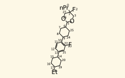 CCCC1(F)COC(C2CCC(c3ccc(C4CCC(CC)CC4)cc3F)CC2)OC1